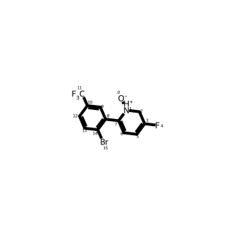 [O-][NH+]1CC(F)=CC=C1c1cc(C(F)(F)F)ccc1Br